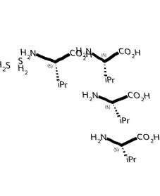 CC(C)[C@H](N)C(=O)O.CC(C)[C@H](N)C(=O)O.CC(C)[C@H](N)C(=O)O.CC(C)[C@H](N)C(=O)O.S.S